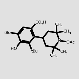 CC(=O)ON1C(C)(C)CC(c2c(C(=O)O)cc(C(C)(C)C)c(O)c2C(C)(C)C)CC1(C)C